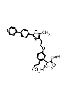 Cc1oc(-c2ccc(-c3ccncc3)cc2)nc1CCOc1ccc(CCC(=O)O)c(C(N)C(=O)OC(C)C)c1